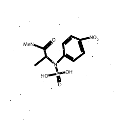 CNC(=O)C(C)N(c1ccc([N+](=O)[O-])cc1)P(=O)(O)O